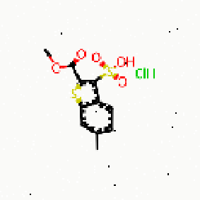 COC(=O)c1sc2cc(C)ccc2c1S(=O)(=O)O.Cl